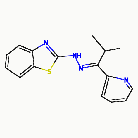 CC(C)/C(=N\Nc1nc2ccccc2s1)c1ccccn1